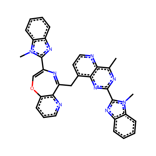 Cc1nc(-c2nc3ccccc3n2C)nc2c(CC3=NC(c4nc5ccccc5n4C)=COc4cccnc43)ccnc12